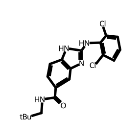 CC(C)(C)CNC(=O)c1ccc2[nH]c(Nc3c(Cl)cccc3Cl)nc2c1